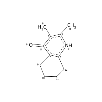 Cc1[nH]c2c(c(=O)c1C)CCCC2